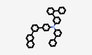 c1ccc(-c2cccc(N(c3ccc(-c4cccc(-c5ccc6ccccc6c5)c4)cc3)c3cccc(-c4ccccc4-c4ccccc4)c3)c2)cc1